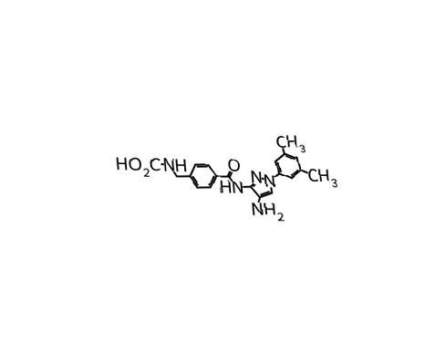 Cc1cc(C)cc(-n2cc(N)c(NC(=O)c3ccc(CNC(=O)O)cc3)n2)c1